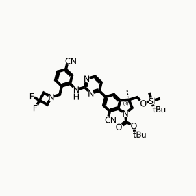 CC(C)(C)OC(=O)N1C[C@](C)(CO[Si](C)(C)C(C)(C)C)c2cc(-c3ccnc(Nc4cc(C#N)ccc4CN4CC(F)(F)C4)n3)cc(C#N)c21